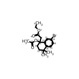 CCOC(=O)CC1(OC(C)=O)CCC(C)(C)c2ccc(Br)cc21